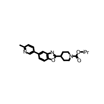 Cc1ccc(-c2ccc3oc(C4CCN(C(=O)OC(C)C)CC4)nc3c2)cn1